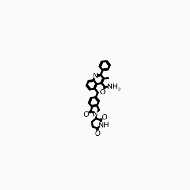 Cc1c(-c2ccccc2)nc2cccc(Cc3ccc4c(c3)CN(C3CCC(=O)NC3=O)C4=O)c2c1C(N)=O